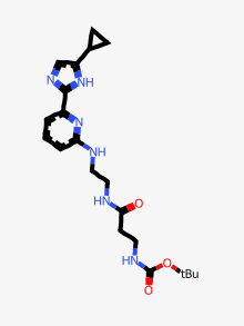 CC(C)(C)OC(=O)NCCC(=O)NCCNc1cccc(-c2ncc(C3CC3)[nH]2)n1